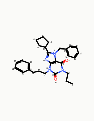 CCCn1c(=O)c2c(nc(C3CCCC3)n2Cc2ccccc2)n(CCCc2ccccc2)c1=O